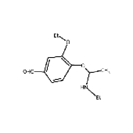 CCNC(C)Oc1ccc(C=O)cc1OCC